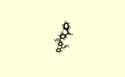 CC(C)CC(c1ccccc1)c1ccc(Nc2ccc(C(C)c3ccccc3)cc2)cc1